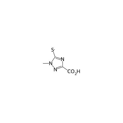 Cn1nc(C(=O)O)nc1[S]